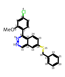 COc1cc(Cl)ccc1-c1nncc2cc(SCc3ccccc3)ccc12